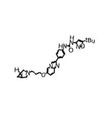 CC(C)(C)c1cc(NC(=O)Nc2ccc(-c3cn4cc(OCCCN5CC6C[C@@H]6C5)ccc4n3)cc2)no1